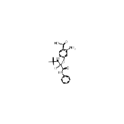 CC(C)(C)C(=O)C(Cl)(Oc1ccc(C(=O)O)c(N)c1)C(=O)Nc1ccccc1